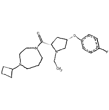 CCN1C[C@@H](Oc2ccc(F)cc2)C[C@H]1C(=O)N1CCCN(C2CCC2)CC1